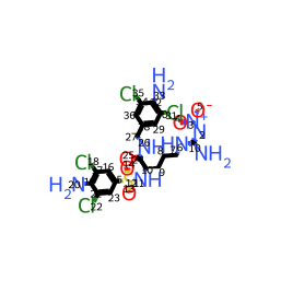 N/C(=N/[N+](=O)[O-])NCCC[C@@H](NS(=O)(=O)c1cc(Cl)c(N)c(Cl)c1)C(=O)NCc1cc(Cl)c(N)c(Cl)c1